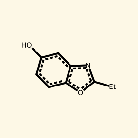 CCc1nc2cc(O)ccc2o1